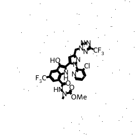 COC(=O)N(C)NC(=O)c1cc(C(F)(F)F)cc2c(O)c(-c3cc(Cn4nnc(C(F)(F)F)n4)nn3-c3ncccc3Cl)[nH]c12